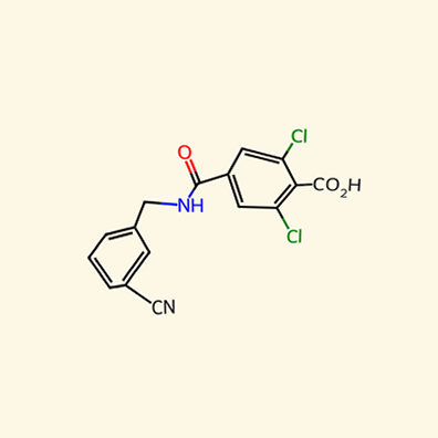 N#Cc1cccc(CNC(=O)c2cc(Cl)c(C(=O)O)c(Cl)c2)c1